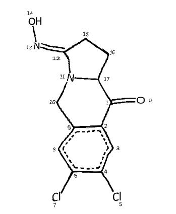 O=C1c2cc(Cl)c(Cl)cc2CN2C(=NO)CCC12